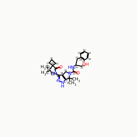 CC1(C)c2[nH]nc(NC(=O)C3([Si](C)(C)C)CCC3)c2CN1C(=O)NC(CO)Cc1ccccc1